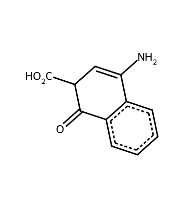 NC1=CC(C(=O)O)C(=O)c2ccccc21